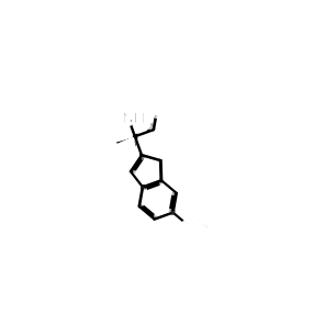 CCCCCCCCc1ccc2c(c1)CC([C@](C)(N)CO)=C2